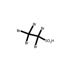 O=S(=O)(O)C(Br)(Br)C(Br)(Br)Br